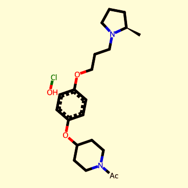 CC(=O)N1CCC(Oc2ccc(OCCCN3CCC[C@H]3C)cc2)CC1.OCl